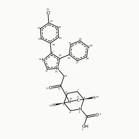 O=C(O)N1C[C@@H]2CC[C@H]1CN2C(=O)Cn1cnc(-c2ccc(Cl)cc2)c1-c1ccncc1